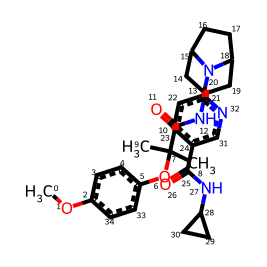 COc1ccc(OC(C)(C)C(=O)NC2CC3CCC(C2)N3c2ccc(C(=O)NC3CC3)cn2)cc1